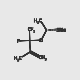 C=C(C)C(F)(O[C@H](C)SC)C(F)(F)F